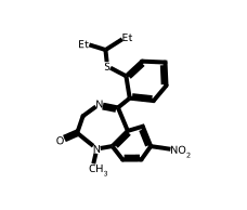 CCC(CC)Sc1ccccc1C1=NCC(=O)N(C)c2ccc([N+](=O)[O-])cc21